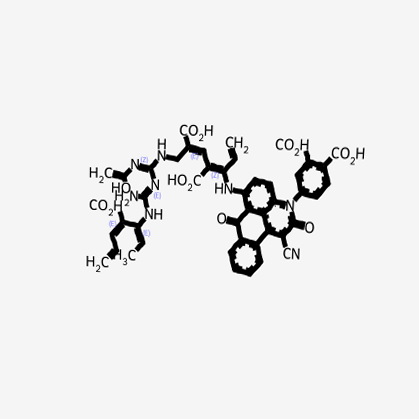 C=C/C=C(C(=O)O)\C(=C/C)N/C(N)=N/C(=N\C(=C)O)NC/C(=C\C(C(=O)O)=C(/C=C)Nc1ccc2c3c1C(=O)c1ccccc1-c3c(C#N)c(=O)n2-c1ccc(C(=O)O)c(C(=O)O)c1)C(=O)O